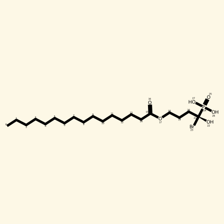 CCCCCCCCCCCCCCCC(=O)OCCC[C@@](O)(Br)P(=O)(O)O